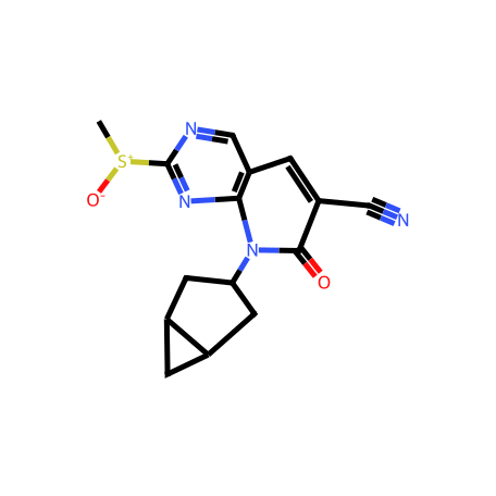 C[S+]([O-])c1ncc2cc(C#N)c(=O)n(C3CC4CC4C3)c2n1